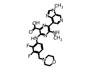 CNc1nc(Nc2ccc(CN3CCOCC3)c(F)c2F)c(C(=O)O)nc1-c1cncc2c1ncn2C